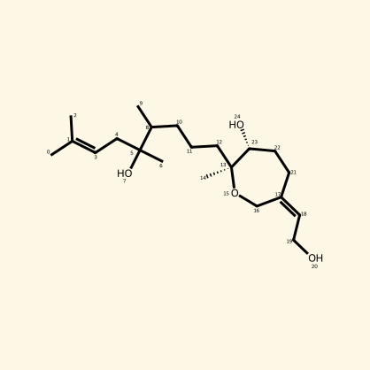 CC(C)=CCC(C)(O)C(C)CCC[C@]1(C)OCC(=CCO)CC[C@H]1O